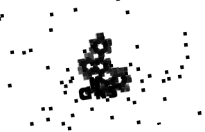 Clc1nc(-c2ccc(-c3ccccc3)c3ccccc23)c2c(n1)sc1ccccc12